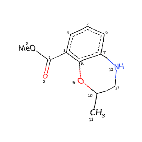 COC(=O)c1cccc2c1OC(C)CN2